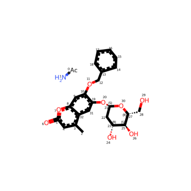 CC(N)=O.Cc1cc(=O)oc2cc(OCc3ccccc3)c(O[C@H]3C[C@@H](O)[C@H](O)[C@@H](CO)O3)cc12